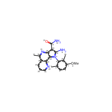 COc1ccc(C)c(-n2c(N)c(C(N)=O)c3nc(C)c4cccnc4c32)c1C